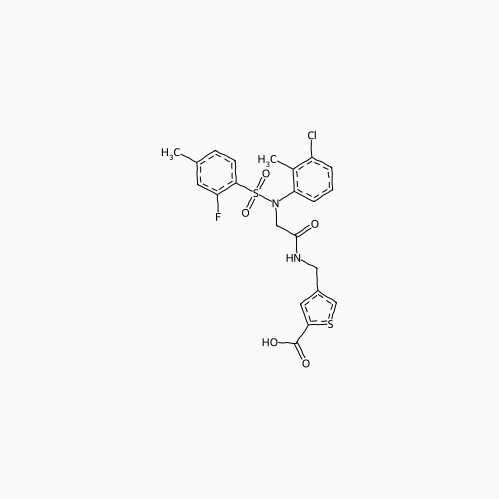 Cc1ccc(S(=O)(=O)N(CC(=O)NCc2csc(C(=O)O)c2)c2cccc(Cl)c2C)c(F)c1